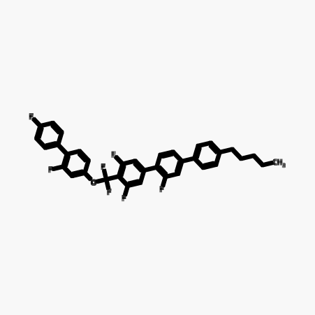 CCCCCc1ccc(-c2ccc(-c3cc(F)c(C(F)(F)Oc4ccc(-c5ccc(F)cc5)c(F)c4)c(F)c3)c(F)c2)cc1